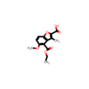 CCOC(=O)c1c(OC)ccc2oc(C(=O)O)c(C)c12